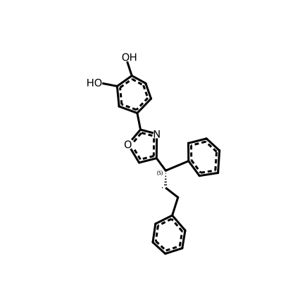 Oc1ccc(-c2nc([C@@H]([CH]Cc3ccccc3)c3ccccc3)co2)cc1O